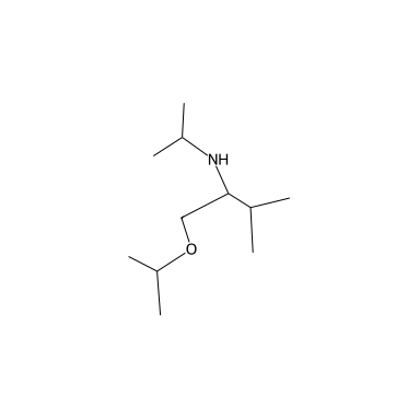 CC(C)NC(COC(C)C)C(C)C